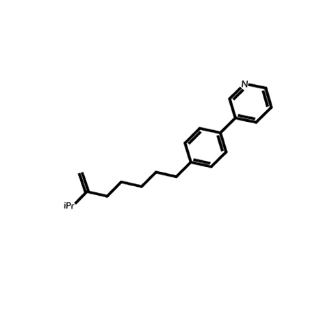 C=C(CCCCCc1ccc(-c2cccnc2)cc1)C(C)C